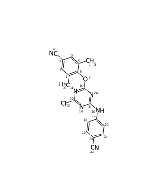 Cc1cc(C#N)cc(C)c1Oc1nc(Cl)nc(Nc2ccc(C#N)cc2)n1